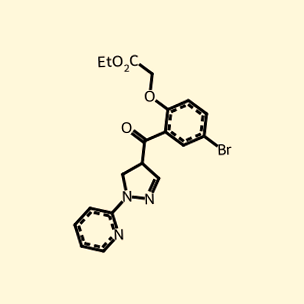 CCOC(=O)COc1ccc(Br)cc1C(=O)C1C=NN(c2ccccn2)C1